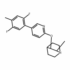 Cc1cc(F)c(-c2ccc(OC3C4CCN(CC4)C3C)nc2)cc1F